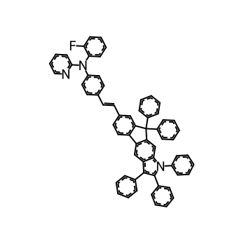 Fc1ccccc1N(c1ccc(/C=C/c2ccc3c(c2)C(c2ccccc2)(c2ccccc2)c2cc4c(cc2-3)c(-c2ccccc2)c(-c2ccccc2)n4-c2ccccc2)cc1)c1ccccn1